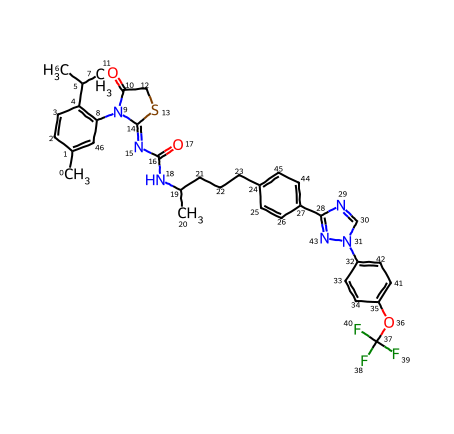 Cc1ccc(C(C)C)c(N2C(=O)CS/C2=N\C(=O)NC(C)CCCc2ccc(-c3ncn(-c4ccc(OC(F)(F)F)cc4)n3)cc2)c1